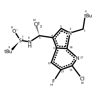 CC(C)(C)Cn1cc([C@H](N[S@+]([O-])C(C)(C)C)C(F)(F)F)c2cc(F)c(Cl)nc21